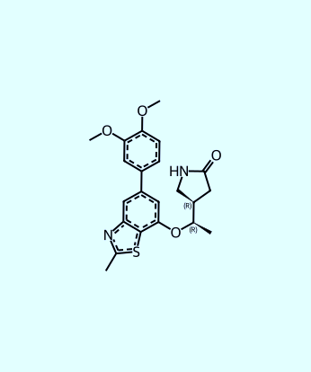 COc1ccc(-c2cc(O[C@H](C)[C@H]3CNC(=O)C3)c3sc(C)nc3c2)cc1OC